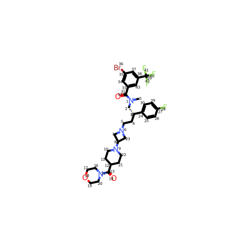 CN(C[C@@H](CCN1CC(N2CCC(C(=O)N3CCOCC3)CC2)C1)c1ccc(F)cc1)C(=O)c1cc(Br)cc(C(F)(F)F)c1